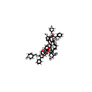 COc1ccc([C@H](OC(=O)c2ccc(CNCC(C(=O)OCC3CCN(C)CC3)c3ccccc3)s2)C(c2c(Cl)c[n+]([O-])cc2Cl)(C(Cc2c(Cl)c[n+]([O-])cc2Cl)c2ccc(OC)c(OC3CCCC3)c2)[SH]2C(CNC(C(=O)OCC3CCN(C)CC3)c3ccccc3)=CC=C2C(=O)O)cc1OC